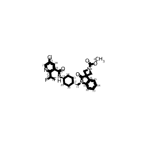 COC(=O)N1CC2(C1)C(=O)N(C[C@H]1CC[C@H](NC(=O)c3cc(Cl)cnc3C(F)F)CC1)c1ccccc12